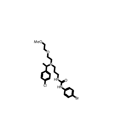 COCCOCCN(CCCNC(=O)Nc1ccc(Br)cc1)C(C)c1ccc(Cl)cc1